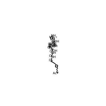 CC(=O)C(C)(C)CCCCc1ccc(CCCCC(C)(C)C(=O)CCNC(=O)CCNC(=O)C(O)C(C)(C)COP(=O)(O)OP(=O)(O)OCC2OC(n3cnc4c(N)ncnc43)C(O)C2OP(=O)(O)O)cc1